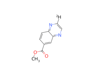 [2H]c1cnc2cc(C(=O)OC)ccc2n1